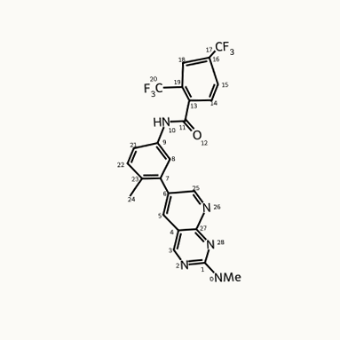 CNc1ncc2cc(-c3cc(NC(=O)c4ccc(C(F)(F)F)cc4C(F)(F)F)ccc3C)cnc2n1